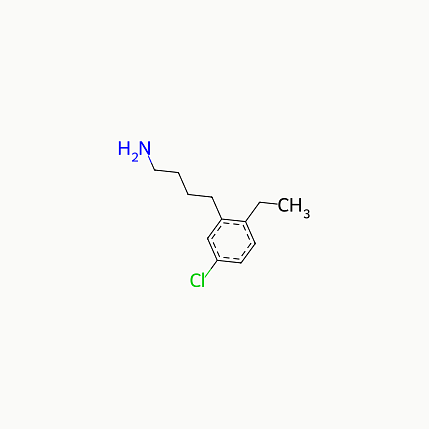 CCc1ccc(Cl)cc1CCCCN